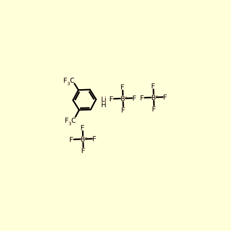 FC(F)(F)c1cccc(C(F)(F)F)c1.F[B-](F)(F)F.F[B-](F)(F)F.F[B-](F)(F)F.[LiH]